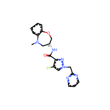 CN1C[C@@H](NC(=O)c2nn(Cc3ncccn3)cc2F)COc2ccccc21